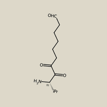 CC(C)[C@H](N)C(=O)C(=O)CCCCCC=O